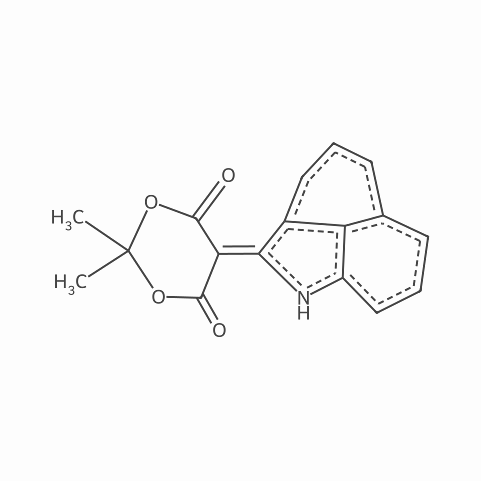 CC1(C)OC(=O)C(=c2[nH]c3cccc4cccc2c43)C(=O)O1